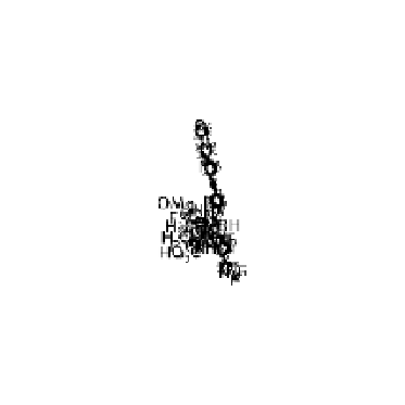 COC(=O)N[C@H](C(=O)N[C@@H](Cc1ccc(C#Cc2ccc(N3CCN(C4CCOCC4)CC3)nc2)cc1)[C@@H](O)CN(Cc1c(F)cc(-c2cnn(C(F)F)c2)cc1F)NC(=O)[C@@H](NC(=O)O)C(C)(C)C(F)(F)F)C(C)(C)C(F)(F)F